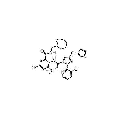 Cc1cc(Cl)cc(C(=O)NCC2CCCCO2)c1NC(=O)c1cc(Oc2ccsc2)nn1-c1ncccc1Cl